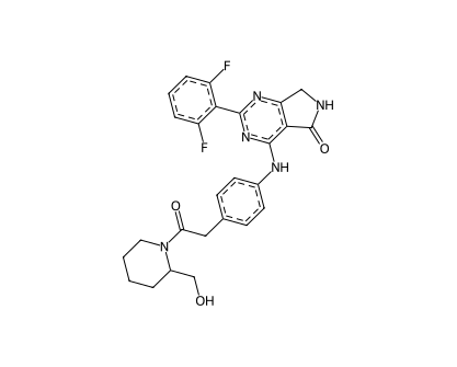 O=C1NCc2nc(-c3c(F)cccc3F)nc(Nc3ccc(CC(=O)N4CCCCC4CO)cc3)c21